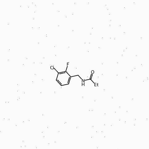 CCC(=O)NCc1cccc(Cl)c1F